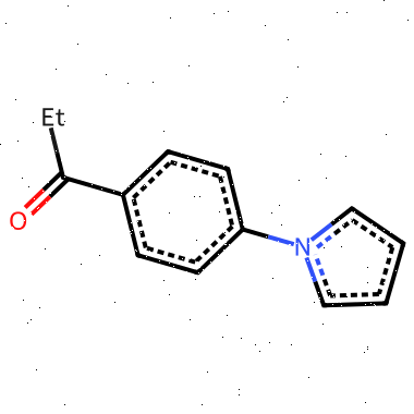 CCC(=O)c1ccc(-n2cccc2)cc1